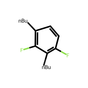 CCCCc1ccc(F)c(CCCC)c1F